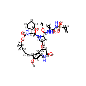 C=C[C@@H]1CC1(NC(=O)[C@@H]1C[C@@H]2CN1C(=O)[C@H](C1CCCCC1)NC(=O)OCC(C)(C)CCCc1cc3c(cc(=O)[nH]c3cc1OC)O2)C(=O)NS(=O)(=O)C1CC1